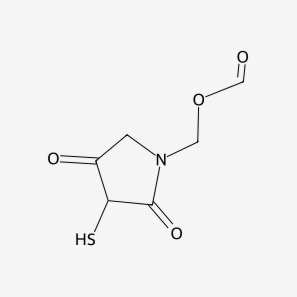 O=COCN1CC(=O)C(S)C1=O